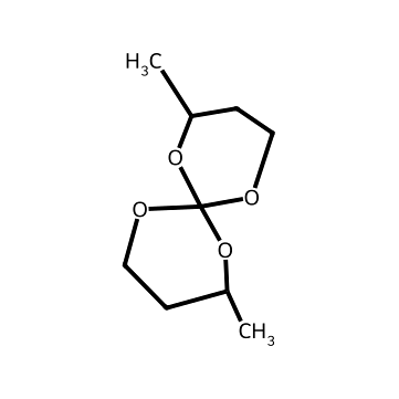 CC1CCOC2(OCCC(C)O2)O1